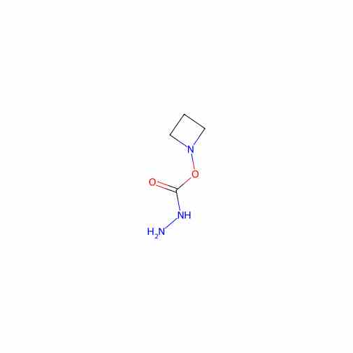 NNC(=O)ON1CCC1